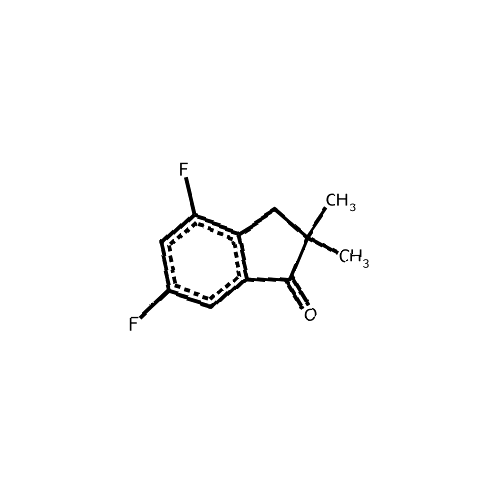 CC1(C)Cc2c(F)cc(F)cc2C1=O